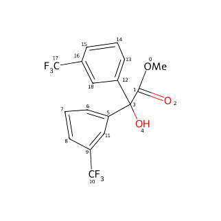 COC(=O)C(O)(c1cccc(C(F)(F)F)c1)c1cccc(C(F)(F)F)c1